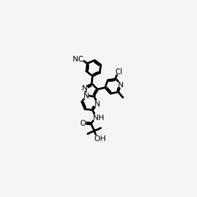 Cc1cc(-c2c(-c3cccc(C#N)c3)nn3ccc(NC(=O)C(C)(C)O)nc23)cc(Cl)n1